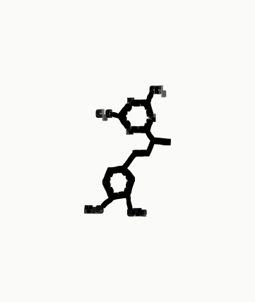 C=C(C=Cc1ccc(OC)c(OC)c1)c1nc(C(Cl)(Cl)Cl)nc(C(Cl)(Cl)Cl)n1